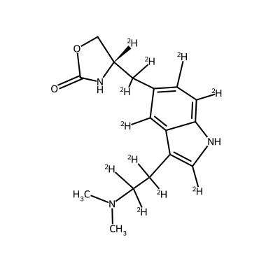 [2H]c1[nH]c2c([2H])c([2H])c(C([2H])([2H])[C@@]3([2H])COC(=O)N3)c([2H])c2c1C([2H])([2H])C([2H])([2H])N(C)C